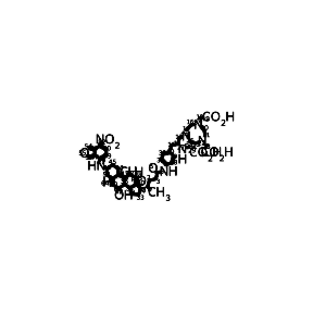 CC(CCC(=O)Nc1ccc(CC(CN2CCN(CC(=O)O)CCN(CC(=O)O)CC2)NCC(=O)O)cc1)[C@H]1CCC2C3C(C[C@@H]4O[C@@]241)[C@@]1(C)CCC(Nc2ccc([N+](=O)[O-])c4cocc24)C[C@H]1C[C@H]3O